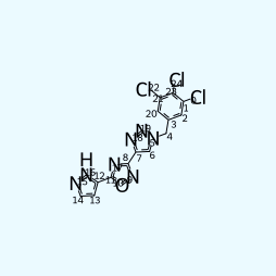 Clc1cc(Cn2cc(-c3noc(-c4ccn[nH]4)n3)nn2)cc(Cl)c1Cl